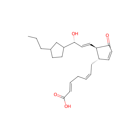 CCCC1CCC([C@H](O)/C=C/[C@H]2C(=O)C=C[C@@H]2C/C=C\C/C=C/C(=O)O)C1